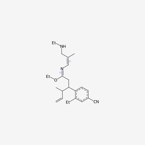 C=CC(C)C(C/C(=N\C=C(\C)CNCC)OCC)c1ccc(C#N)cc1CC